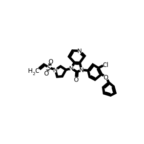 C=CS(=O)(=O)N1CCC(n2c(=O)n(-c3ccc(Oc4ccccc4)c(Cl)c3)c3cnccc32)C1